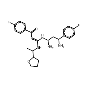 CC(N/C(=N/C(=O)c1ccc(F)cc1)NC(N)CC(N)c1ccc(F)cc1)C1CCCO1